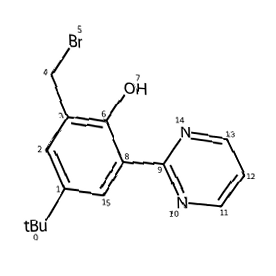 CC(C)(C)c1cc(CBr)c(O)c(-c2ncccn2)c1